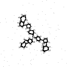 c1cc(-c2ccc(N(c3ccc(-c4cccc5c4sc4ccccc45)cc3)c3ccc4c(c3)sc3ccccc34)cc2)cc(-c2cccc3ccccc23)c1